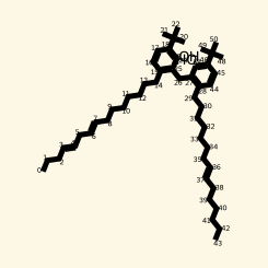 CCC/C=C/C/C=C/CCCCCCCc1ccc(C(C)(C)C)c(O)c1Cc1c(CCCCCCC/C=C/CCCCCC)ccc(C(C)(C)C)c1O